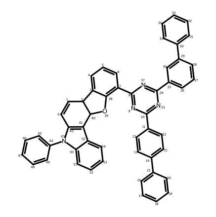 C1=CC2c3cccc(-c4nc(-c5ccc(-c6ccccc6)cc5)nc(-c5cccc(-c6ccccc6)c5)n4)c3OC2c2c1n(-c1ccccc1)c1ccccc21